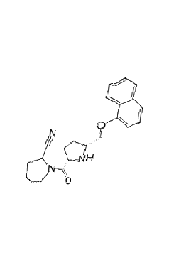 N#CC1CCCN1C(=O)[C@@H]1CC[C@H](COc2cccc3ccccc23)N1